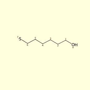 OCCCCCC[S]